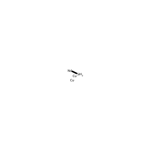 [Cu].[Cu].[SiH3][Nd]